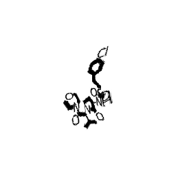 CC(C)[C@@H](C(=O)N1CCOCC1)N1CC[C@H](NS(=O)(=O)CCc2ccc(Cl)cc2)C1=O